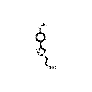 CCOc1ccc(-c2cn(CCC=O)nn2)cc1